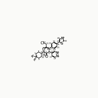 O=C(NC1CCC(F)(F)CC1)C(c1ccnnc1)N(C(=O)CCl)c1ccc(-c2cncs2)cc1